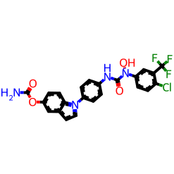 NC(=O)Oc1ccc2c(ccn2-c2ccc(NC(=O)N(O)c3ccc(Cl)c(C(F)(F)F)c3)cc2)c1